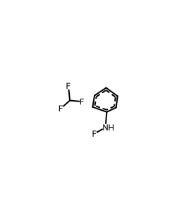 FC(F)F.FNc1ccccc1